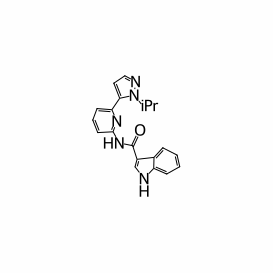 CC(C)n1nccc1-c1cccc(NC(=O)c2c[nH]c3ccccc23)n1